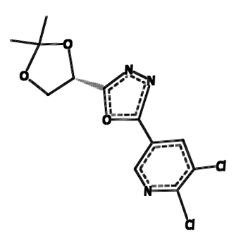 CC1(C)OC[C@@H](c2nnc(-c3cnc(Cl)c(Cl)c3)o2)O1